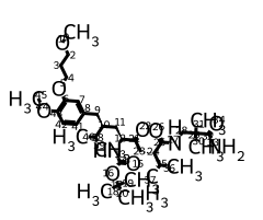 COCCCOc1cc(C[C@@H](C[C@H](NC(=O)OC(C)(C)C)C(=O)C[C@H](C(=O)NCC(C)(C)C(N)=O)C(C)C)C(C)C)ccc1OC